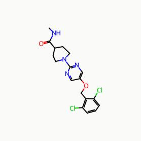 CNC(=O)C1CCN(c2ncc(OCc3c(Cl)cccc3Cl)cn2)CC1